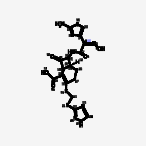 Nc1nc(/C(=N/O)C(=O)N[C@@H]2C(=O)N3C(C(=O)O)=C(SCSc4nc[nH]n4)CS[C@H]23)cs1